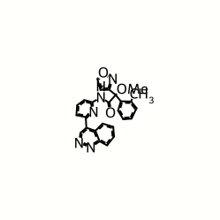 COC(C(=O)Nc1cccc(-c2cnnc3ccccc23)n1)(c1ccon1)c1ccccc1C